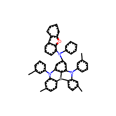 Cc1cccc(N2c3cc(C)ccc3B3c4ccc(C)cc4N(c4cccc(C)c4)c4cc(N(c5ccccc5)c5cccc6c5oc5ccccc56)cc2c43)c1